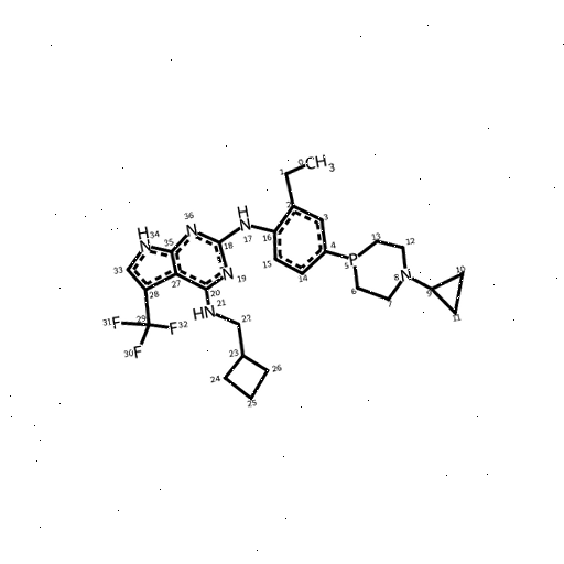 CCc1cc(P2CCN(C3CC3)CC2)ccc1Nc1nc(NCC2CCC2)c2c(C(F)(F)F)c[nH]c2n1